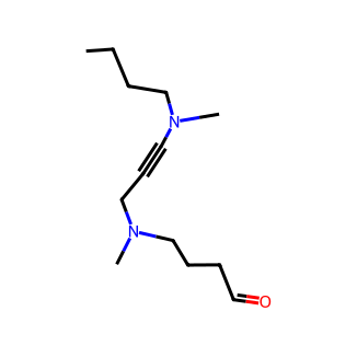 CCCCN(C)C#CCN(C)CCCC=O